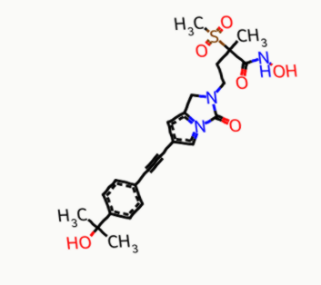 CC(C)(O)c1ccc(C#Cc2cc3n(c2)C(=O)N(CCC(C)(C(=O)NO)S(C)(=O)=O)C3)cc1